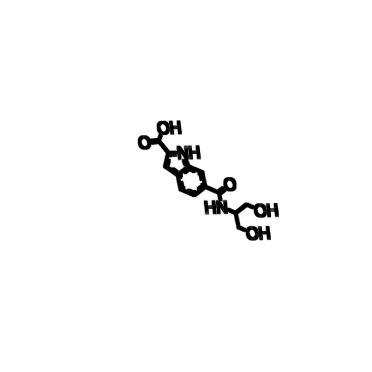 O=C(NC(CO)CO)c1ccc2cc(C(=O)O)[nH]c2c1